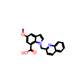 COc1cc(C(=O)O)c2c(ccn2Cc2ccc3ccccc3n2)c1